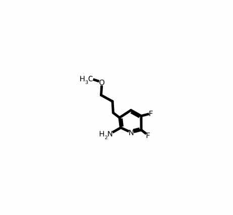 COCCCc1cc(F)c(F)nc1N